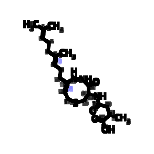 CC(C)=CCC/C(C)=C/CC/C1=C/CSC[C@H](NC(=O)C[C@@H](C)C(=O)O)C(=O)NN1